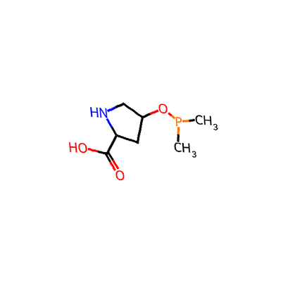 CP(C)OC1CNC(C(=O)O)C1